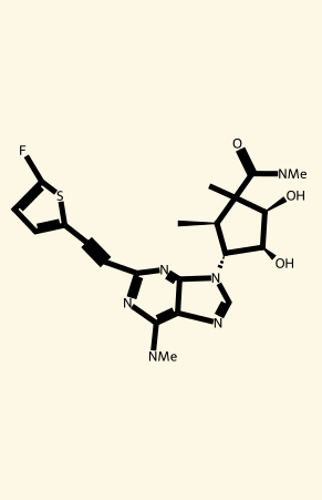 CNC(=O)C1(C)[C@H](C)[C@@H](n2cnc3c(NC)nc(C#Cc4ccc(F)s4)nc32)[C@H](O)[C@@H]1O